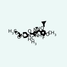 COCC(=O)N1CCC(NC(=O)c2c(C)[nH]c3c(-c4cc(F)c(OC)cc4OCC4CC4)ncnc23)CC1